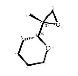 C[C@@]1([C@H]2[CH][CH][CH][CH]O2)CO1